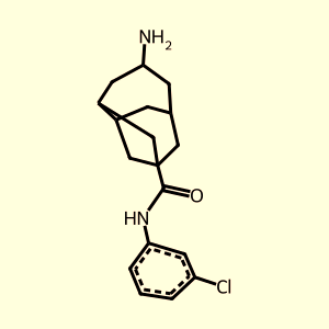 NC1CC2CC3CC(C(=O)Nc4cccc(Cl)c4)(C2)CC3C1